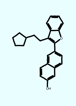 Oc1ccc2cc(-c3oc4ccccc4c3CCC3CCCC3)ccc2c1